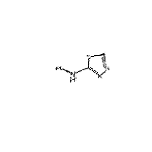 CCNc1nn[c]s1